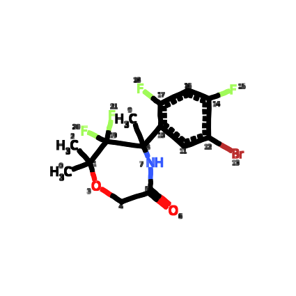 CC1(C)OCC(=O)NC(C)(c2cc(Br)c(F)cc2F)C1(F)F